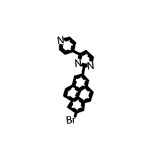 Brc1cc2ccc3cc(-c4nccc(-c5ccncc5)n4)cc4ccc(c1)c2c34